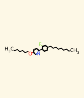 CCCCCCCCCc1ccc(-c2ccc(OCCCCCCC)cn2)c(F)c1